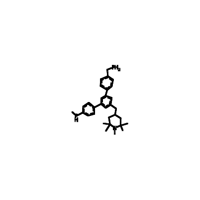 CPc1ccc(-c2cc(CC3CC(C)(C)N(C)C(C)(C)C3)cc(-c3ccc(CP)cc3)c2)cc1